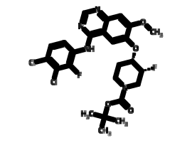 COc1cc2ncnc(Nc3ccc(Cl)c(Cl)c3F)c2cc1O[C@H]1CCN(C(=O)OC(C)(C)C)C[C@H]1F